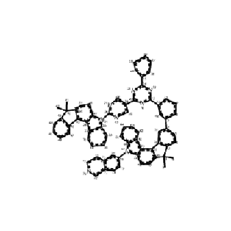 CC1(C)c2ccc(-c3cccc(-c4nc(-c5ccccc5)nc(-c5cnc(-n6c7ccccc7c7c8c(ccc76)C(C)(C)c6ccccc6-8)nc5)n4)c3)cc2-c2c1ccc1c2c2ccccc2n1-c1ccc2cnccc2c1